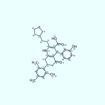 Cc1cc(C)c(C2CC(=O)C3=C(C2)NC(CCC2CCCC2)=C(C(=O)O)C3c2cccc(O)c2)c(C)c1